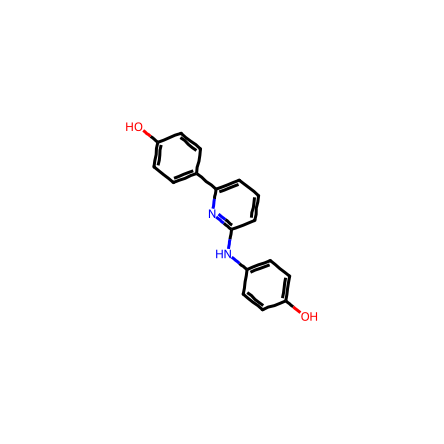 Oc1ccc(Nc2cccc(-c3ccc(O)cc3)n2)cc1